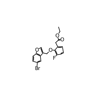 CCOC(=O)Cc1cccc(F)c1OCc1coc2ccc(Br)cc12